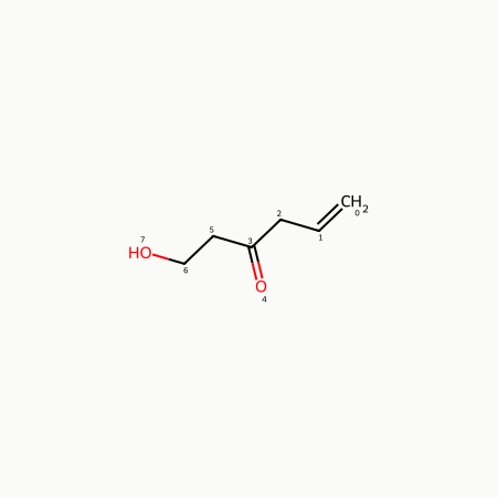 C=CCC(=O)CCO